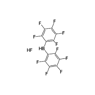 F.Fc1c(F)c(F)c(Bc2c(F)c(F)c(F)c(F)c2F)c(F)c1F